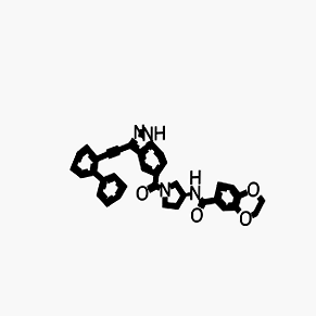 O=C(N[C@H]1CCN(C(=O)c2ccc3[nH]nc(C#Cc4ccccc4-c4ccccc4)c3c2)C1)c1ccc2c(c1)OCCO2